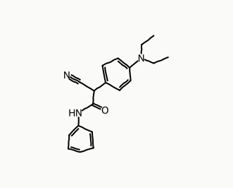 CCN(CC)c1ccc(C(C#N)C(=O)Nc2ccccc2)cc1